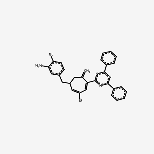 C=C1CC(Cc2ccc(CC)c(N)c2)C=C(CC)C=C1c1nc(-c2ccccc2)nc(-c2ccccc2)n1